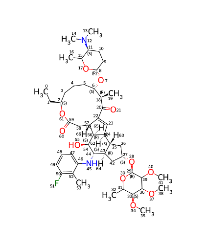 CC[C@H]1CCC[C@H](O[C@H]2CC[C@H](N(C)C)C(C)O2)[C@@H](C)C(=O)C2=C[C@H]3[C@@H]4C[C@H](O[C@@H]5OC(C)[C@H](OC)C(OC)C5OC)C[C@H]4[C@H](Nc4cccc(F)c4C)[C@@H](O)[C@H]3[C@@H]2CC(=O)O1